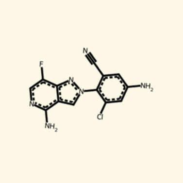 N#Cc1cc(N)cc(Cl)c1-n1cc2c(N)ncc(F)c2n1